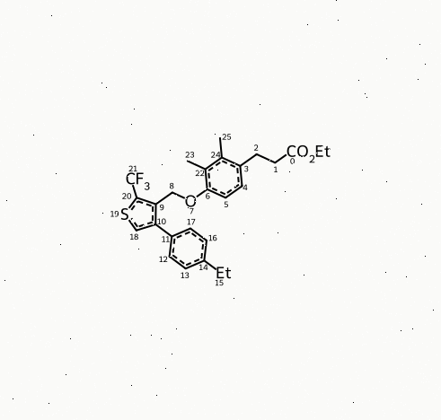 CCOC(=O)CCc1ccc(OCc2c(-c3ccc(CC)cc3)csc2C(F)(F)F)c(C)c1C